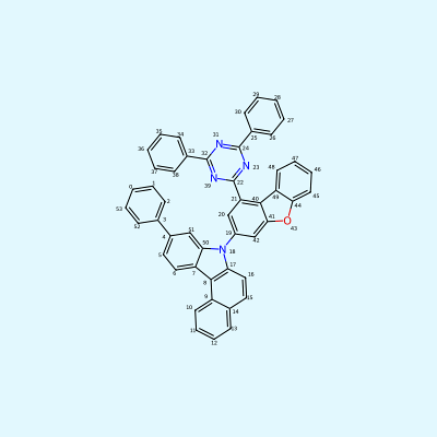 c1ccc(-c2ccc3c4c5ccccc5ccc4n(-c4cc(-c5nc(-c6ccccc6)nc(-c6ccccc6)n5)c5c(c4)oc4ccccc45)c3c2)cc1